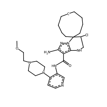 COCCN1CCN(c2ccncc2NC(=O)c2c(N)nn3c2NCC(Cl)C32CCCCCCCCC2)CC1